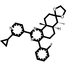 C[C@@H]1[C@H]2CCc3c(-c4ccccc4F)nc(-c4ccnc(C5CC5)c4)nc3[C@]2(C)CCC12OCCO2